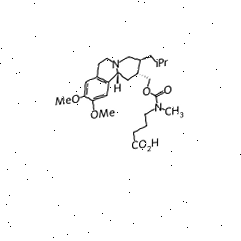 COc1cc2c(cc1OC)[C@H]1C[C@@H](COC(=O)N(C)CCCC(=O)O)[C@H](CC(C)C)CN1CC2